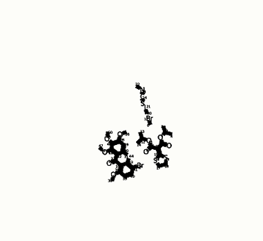 CBr.CC(C)OC(=O)C(C(=O)OC(C)C)=C1SCCS1.CI.CN=C=S.COc1cc(C)c(C(=O)c2c(OC)ccc(Br)c2C)c(OC)c1OC